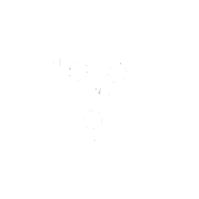 O=C1c2ccccc2C(c2ccc(Cl)cc2)N1Cc1ccc(Cl)cc1